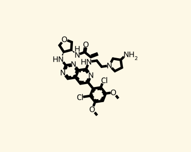 C=CC(=O)N[C@H]1COC[C@H]1Nc1ncc2cc(-c3c(Cl)c(OC)cc(OC)c3Cl)nc(NCCN3CCC(N)C3)c2n1